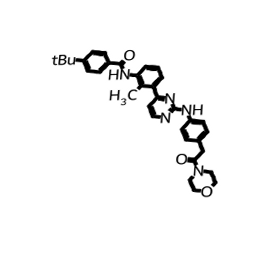 Cc1c(NC(=O)c2ccc(C(C)(C)C)cc2)cccc1-c1ccnc(Nc2ccc(CC(=O)N3CCOCC3)cc2)n1